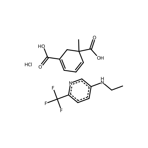 CC1(C(=O)O)C=CC=C(C(=O)O)C1.CCNc1ccc(C(F)(F)F)nc1.Cl